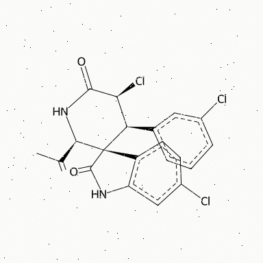 C=C(C)[C@H]1NC(=O)[C@@H](Cl)[C@@H](c2cccc(Cl)c2)[C@]12C(=O)Nc1cc(Cl)ccc12